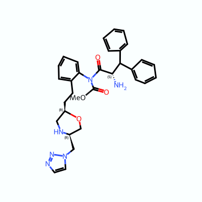 COC(=O)N(C(=O)[C@@H](N)C(c1ccccc1)c1ccccc1)c1ccccc1CC[C@@H]1CN[C@H](Cn2ccnn2)CO1